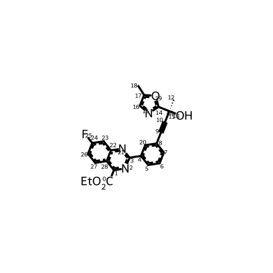 CCOC(=O)c1nc(-c2cccc(C#C[C@](C)(O)c3ncc(C)o3)c2)nc2cc(F)ccc12